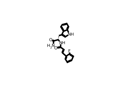 NC(=O)[C@H](Cc1c[nH]c2ccccc12)NC(=O)C=Cc1ccccc1F